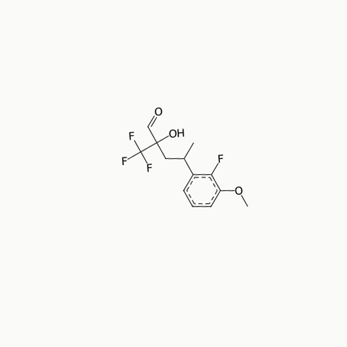 COc1cccc(C(C)CC(O)(C=O)C(F)(F)F)c1F